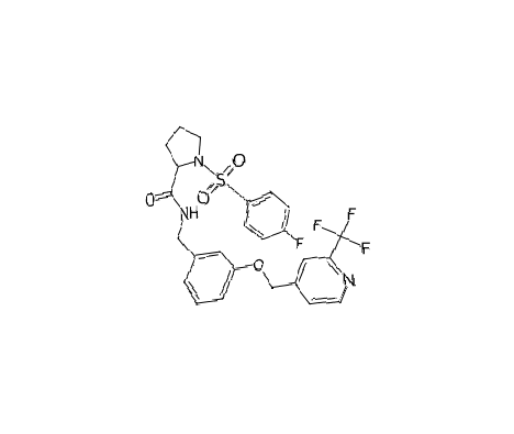 O=C(NCc1cccc(OCc2ccnc(C(F)(F)F)c2)c1)C1CCCN1S(=O)(=O)c1ccc(F)cc1